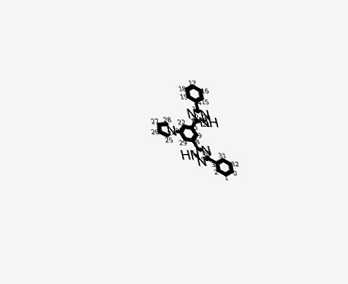 c1ccc(-c2n[nH]c(-c3cc(-c4nc(-c5ccccc5)n[nH]4)cc(-n4cccc4)c3)n2)cc1